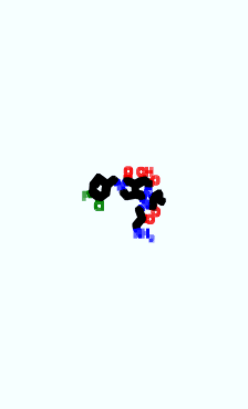 CC1(C)C(=O)N(CC(=O)CN)c2c3c(c(O)c(=O)n21)C(=O)N(Cc1ccc(F)c(Cl)c1)CC3